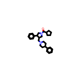 O=C(C1CCCC1)N1CC(CN2CCC(c3ccccc3)CC2)C(c2ccccc2)C1